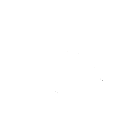 N#CC1=C(Sc2ccccc2[N+](=O)[O-])C(=S)CC=C1